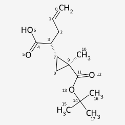 C=CCC(C(=O)O)[C@H]1C[C@]1(C)C(=O)OC(C)(C)C